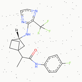 CC(C(=O)Nc1ccc(F)cc1)C12CC(C1)[C@H](Nc1nccnc1C(F)(F)F)C2